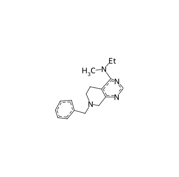 CCN(C)c1ncnc2c1CCN(Cc1ccccc1)C2